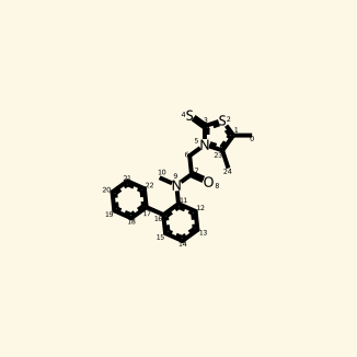 Cc1sc(=S)n(CC(=O)N(C)c2ccccc2-c2ccccc2)c1C